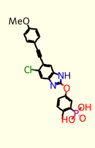 COc1ccc(C#Cc2cc3[nH]c(Oc4ccc(C)c(P(=O)(O)O)c4)nc3cc2Cl)cc1